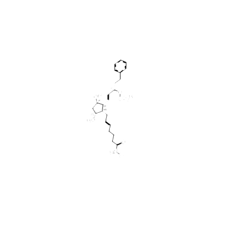 CCNC(=O)CCCC=CC[C@@H]1[C@@H](C=C[C@H](CCc2ccccc2)OC(=O)O)[C@H](O)C[C@@H]1O